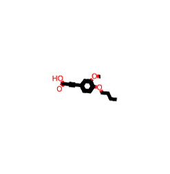 CCCCOc1ccc(C#CC(=O)O)cc1OC